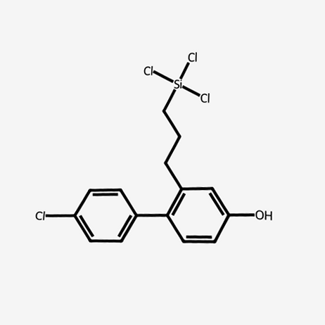 Oc1ccc(-c2ccc(Cl)cc2)c(CCC[Si](Cl)(Cl)Cl)c1